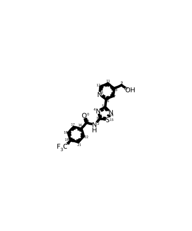 O=C(Nc1nc(-c2cc(CO)ccn2)ns1)c1ccc(C(F)(F)F)cc1